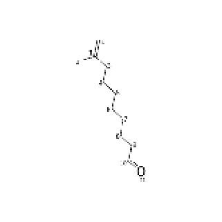 C=C(C)CCCCCCCC=O